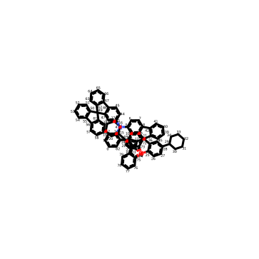 c1ccc(N(c2ccc3c(c2)C2(c4cc(C5CCCCC5)ccc4Oc4ccc(C5CCCCC5)cc42)c2ccccc2-3)c2ccc3c(c2)C2(c4ccccc4-c4ccccc42)c2ccccc2-3)c(-c2cccc3oc4ccccc4c23)c1